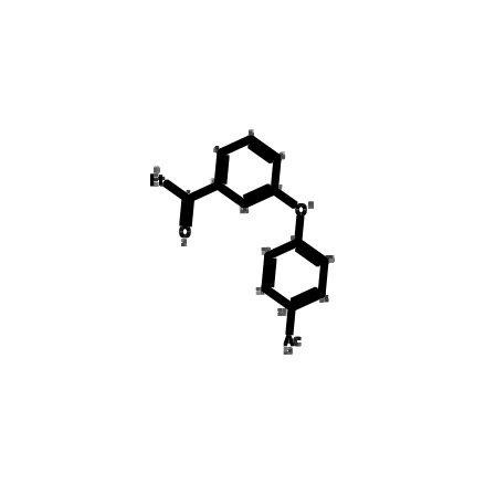 CCC(=O)c1cccc(Oc2ccc(C(C)=O)cc2)c1